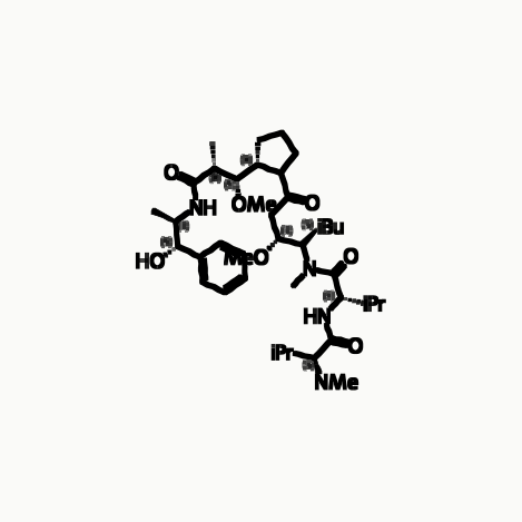 CC[C@H](C)C([C@@H](CC(=O)C1CCC[C@H]1[C@H](OC)[C@@H](C)C(=O)N[C@H](C)[C@@H](O)c1ccccc1)OC)N(C)C(=O)[C@@H](NC(=O)[C@@H](NC)C(C)C)C(C)C